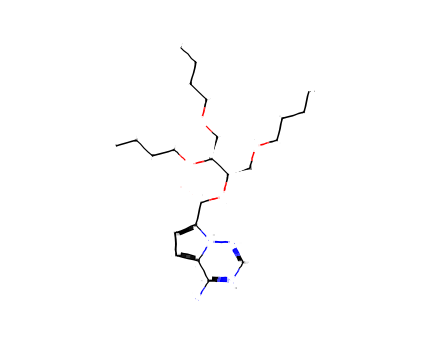 CCCCOC[C@H](OCCCC)[C@@H](COCCCC)O[C@@H](O)c1ccc2c(N)ncnn12